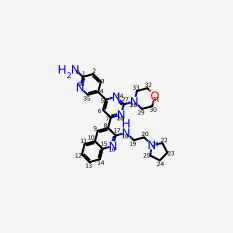 Nc1ccc(-c2cc(-c3cc4ccccc4nc3NCCN3CCCC3)nc(N3CCOCC3)n2)cn1